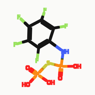 O=P(O)(O)SP(=O)(O)Nc1c(F)c(F)c(F)c(F)c1F